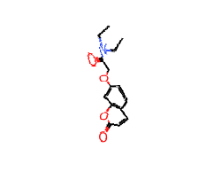 CCN(CC)C(=O)COc1ccc2ccc(=O)oc2c1